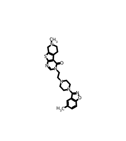 Cc1ccc2onc(N3CCN(CCn4cnc5sc6c(c5c4=O)CCN(C)C6)CC3)c2c1